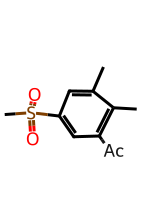 CC(=O)c1cc(S(C)(=O)=O)cc(C)c1C